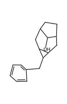 OC1C2CCC1CC1C(Cc3ccccc3)C1C2